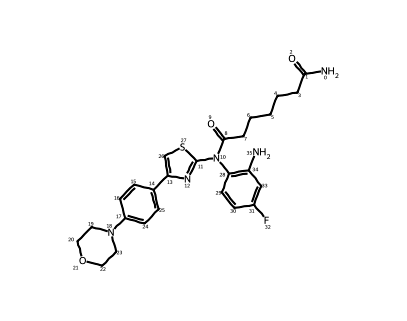 NC(=O)CCCCCC(=O)N(c1nc(-c2ccc(N3CCOCC3)cc2)cs1)c1ccc(F)cc1N